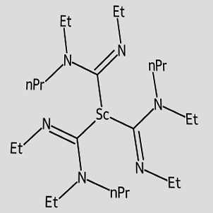 CCCN(CC)[C](=NCC)[Sc]([C](=NCC)N(CC)CCC)[C](=NCC)N(CC)CCC